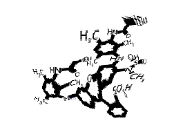 Cc1cc(C)c(NC(=O)CC(C)(C)C)c(C)c1/N=c1/ccc2c(-c3ccccc3S(=O)(=O)O)c3cc(N(C)[SH](=O)=O)c(Nc4c(C)cc(C)c(NC(=O)CC(C)(C)C)c4C)cc3oc-2c1